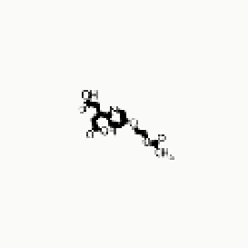 CC(=O)OCCOc1ccc(C(CC(=O)O)CC(=O)O)nc1